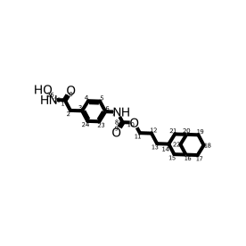 O=C(Cc1ccc(NC(=O)OCCCC2CC3CCCC(C2)C3)cc1)NO